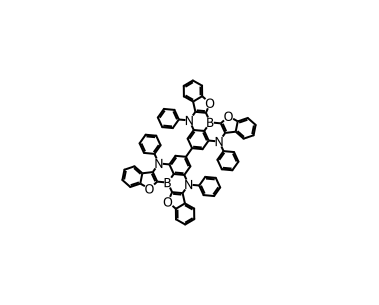 c1ccc(N2c3cc(-c4cc5c6c(c4)N(c4ccccc4)c4c(oc7ccccc47)B6c4oc6ccccc6c4N5c4ccccc4)cc4c3B(c3oc5ccccc5c32)c2oc3ccccc3c2N4c2ccccc2)cc1